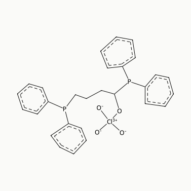 [O-][Cl+3]([O-])([O-])OC(CCCP(c1ccccc1)c1ccccc1)P(c1ccccc1)c1ccccc1